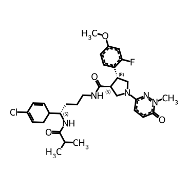 COc1ccc([C@@H]2CN(c3ccc(=O)n(C)n3)C[C@H]2C(=O)NCCC[C@H](NC(=O)C(C)C)C2C=CC(Cl)=CC2)c(F)c1